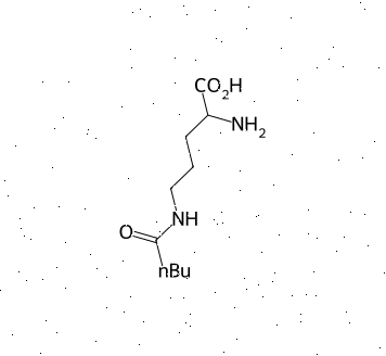 CCCCC(=O)NCCCC(N)C(=O)O